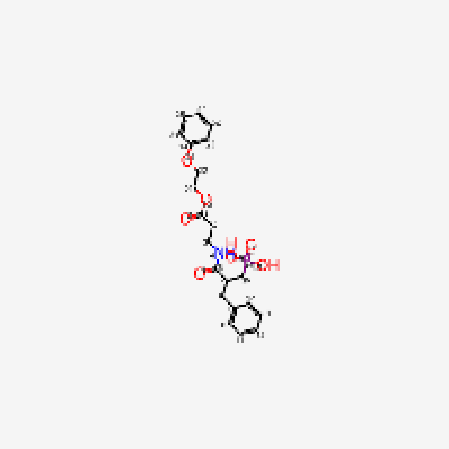 O=C(CCNC(=O)C(Cc1ccccc1)CP(=O)(O)O)OCCOc1ccccc1